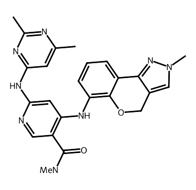 CNC(=O)c1cnc(Nc2cc(C)nc(C)n2)cc1Nc1cccc2c1OCc1cn(C)nc1-2